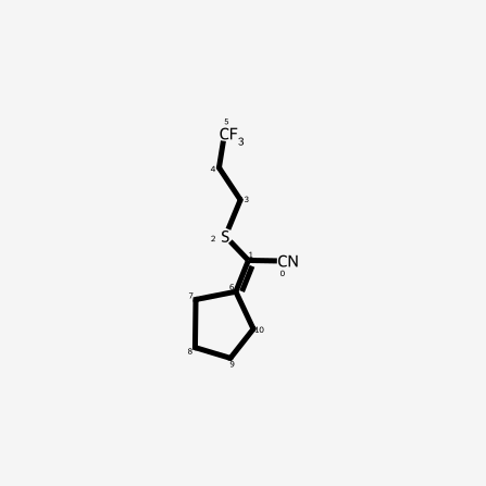 N#CC(SCCC(F)(F)F)=C1CCCC1